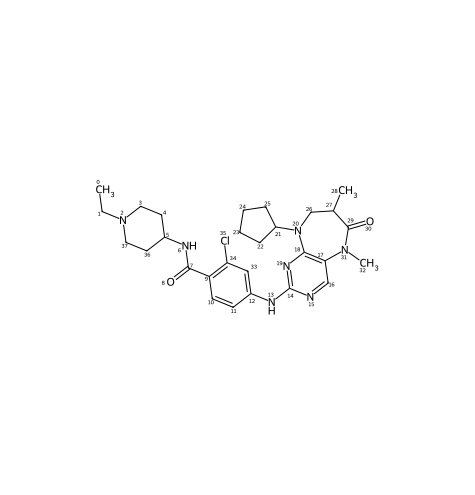 CCN1CCC(NC(=O)c2ccc(Nc3ncc4c(n3)N(C3CCCC3)CC(C)C(=O)N4C)cc2Cl)CC1